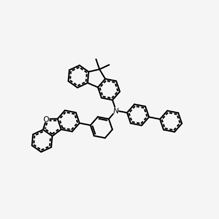 CC1(C)c2ccccc2-c2cc(N(C3=CC(c4ccc5oc6ccccc6c5c4)=CCC3)c3ccc(-c4ccccc4)cc3)ccc21